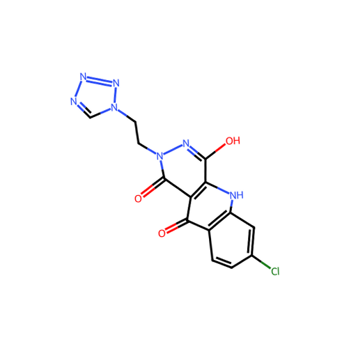 O=c1c2ccc(Cl)cc2[nH]c2c(O)nn(CCn3cnnn3)c(=O)c12